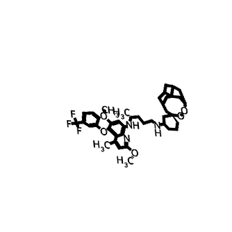 COc1cc(C)c2c(Oc3cccc(C(F)(F)F)c3)c(OC)cc(NC(C)CCCNC3CCC[C@]4(CC5CC6CC7CC(CC67C5)OO4)C3)c2n1